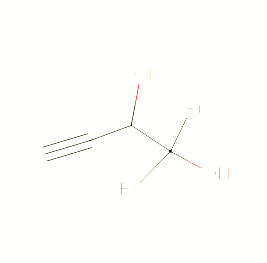 [C]#CC(O)C(O)(CC)CC